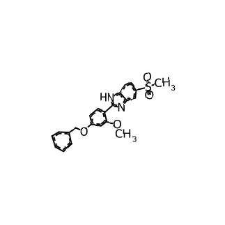 COc1cc(OCc2ccccc2)ccc1-c1nc2cc(S(C)(=O)=O)ccc2[nH]1